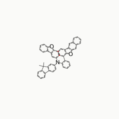 CC1(C)c2ccccc2-c2ccc(N(c3ccc4oc5ccccc5c4c3)c3ccccc3-c3cccc4c3oc3cc5ccccc5cc34)cc21